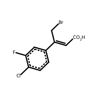 O=C(O)C=C(CBr)c1ccc(Cl)c(F)c1